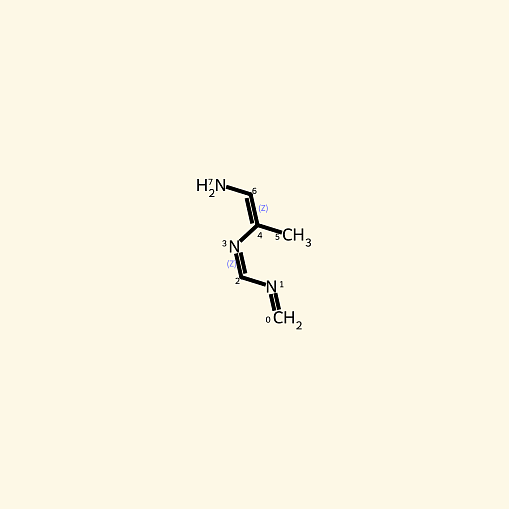 C=N/C=N\C(C)=C/N